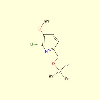 CCCOc1ccc(CO[Si](C(C)C)(C(C)C)C(C)C)nc1Cl